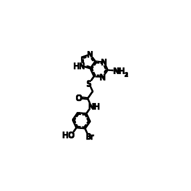 Nc1nc(SCC(=O)Nc2ccc(O)c(Br)c2)c2[nH]cnc2n1